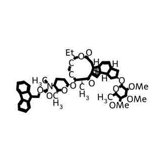 CC[C@H]1CCC[C@H](O[C@H]2CC[C@H](N(C)C(=O)OCC3c4ccccc4-c4ccccc43)C(C)O2)[C@@H](C)C(=O)C2=C[C@@H]3[C@@H](C=C[C@@H]4C[C@@H](OC5OC(C)C(OC)C(OC)C5OC)C[C@@H]34)[C@@H]2CC(=O)O1